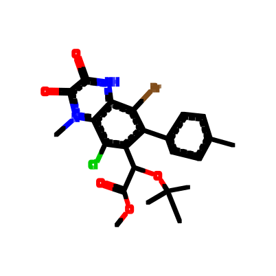 COC(=O)C(OC(C)(C)C)c1c(-c2ccc(C)cc2)c(Br)c2[nH]c(=O)c(=O)n(C)c2c1Cl